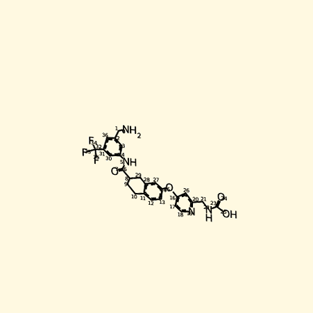 NCc1cc(NC(=O)C2CCc3ccc(Oc4ccnc(CNC(=O)O)c4)cc3C2)cc(C(F)(F)F)c1